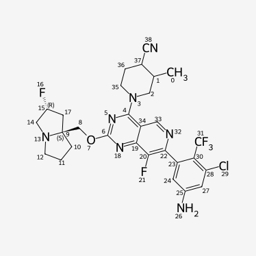 CC1CN(c2nc(OC[C@@]34CCCN3C[C@H](F)C4)nc3c(F)c(-c4cc(N)cc(Cl)c4C(F)(F)F)ncc23)CCC1C#N